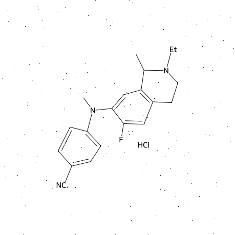 CCN1CCc2cc(F)c(N(C)c3ccc(C#N)cc3)cc2C1C.Cl